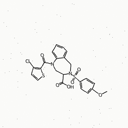 COc1ccc(S(=O)(=O)N2Cc3ccccc3N(C(=O)c3sccc3Cl)CC2C(=O)O)cc1